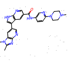 Cc1nc2ncc(-c3c[nH]c4ncc(C(=O)Nc5ccc(N6CCN(C)CC6)nc5)cc34)cc2n1C(C)C